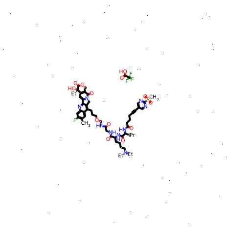 CCN(CC)CCCCC(NC(=O)C(NC(=O)CCCC#Cc1cnc(S(C)(=O)=O)nc1)C(C)C)C(=O)NCC(=O)NCOCCCc1c2c(nc3cc(F)c(C)cc13)-c1cc3c(c(=O)n1C2)COC(=O)[C@]3(O)CC.O=C(O)C(F)(F)F